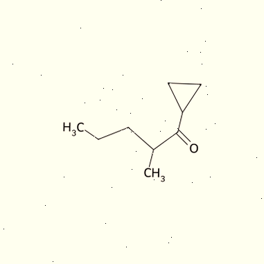 CCCC(C)C(=O)C1CC1